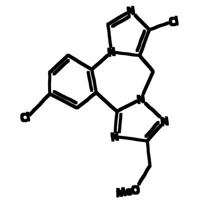 COCc1nc2n(n1)Cc1c(Cl)ncn1-c1ccc(Cl)cc1-2